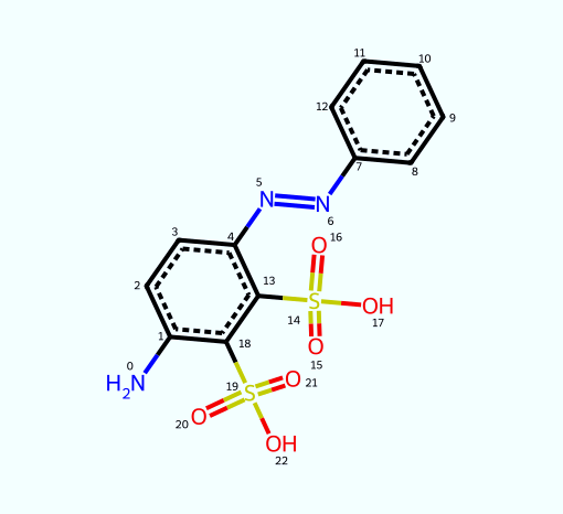 Nc1ccc(N=Nc2ccccc2)c(S(=O)(=O)O)c1S(=O)(=O)O